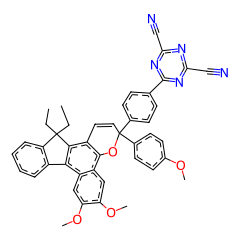 CCC1(CC)c2ccccc2-c2c1c1c(c3cc(OC)c(OC)cc23)OC(c2ccc(OC)cc2)(c2ccc(-c3nc(C#N)nc(C#N)n3)cc2)C=C1